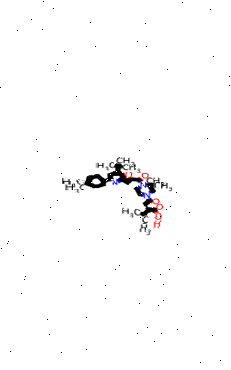 CC(C)[C@@H](CC(=O)N1CCN(C(=O)c2cc3nc(C4CCC(C)(C)CC4)cc(C(C)(C)C)c3o2)C(C)(C)C1)C(=O)O